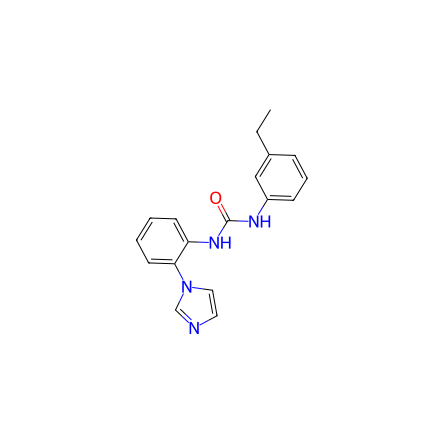 CCc1cccc(NC(=O)Nc2ccccc2-n2ccnc2)c1